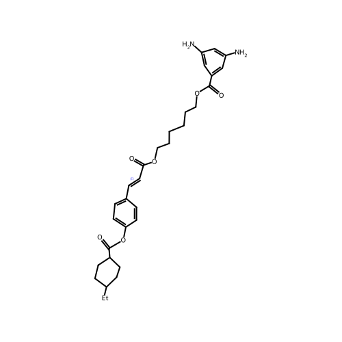 CCC1CCC(C(=O)Oc2ccc(/C=C/C(=O)OCCCCCCOC(=O)c3cc(N)cc(N)c3)cc2)CC1